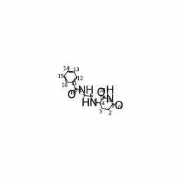 O=C1CC[C@@H](NCCNC(=O)c2ccccc2)C(=O)N1